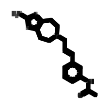 CC(=O)Nc1cccc(/C=C/CN2CCc3nc(N)sc3CC2)c1